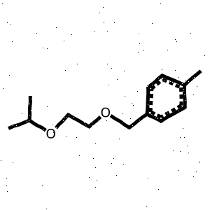 Cc1ccc(COCCOC(C)C)cc1